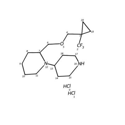 Cl.Cl.FC(F)(F)C1(COCC2CCCCN2C2CCNCC2)CC1